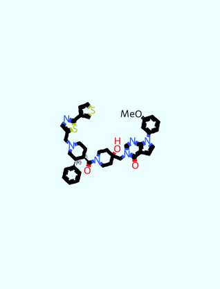 COc1cccc(-n2ccc3c(=O)n(CC4(O)CCN(C(=O)[C@@H]5CCN(Cc6cnc(-c7ccsc7)s6)C[C@H]5c5ccccc5)CC4)cnc32)c1